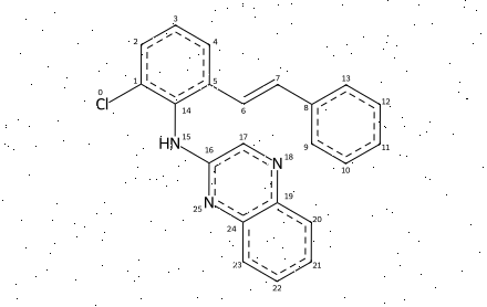 Clc1cccc(C=Cc2ccccc2)c1Nc1cnc2ccccc2n1